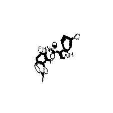 O=S(=O)(Nc1c(F)cc2c(c1F)OC(F)O2)c1c[nH]c2cc(Cl)ccc12